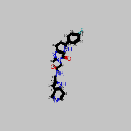 Cc1nc2c(c(=O)n1CC(=O)NCc1cc3cnccc3[nH]1)NC(c1ccc(F)cc1)CC2